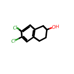 OC1CCc2cc(Cl)c(Cl)cc2C1